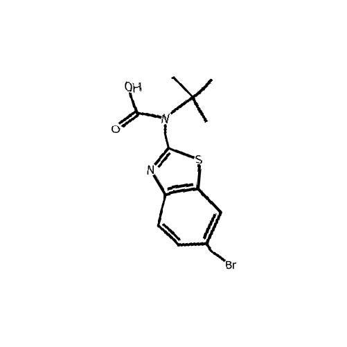 CC(C)(C)N(C(=O)O)c1nc2ccc(Br)cc2s1